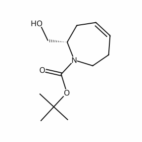 CC(C)(C)OC(=O)N1CCC=CC[C@H]1CO